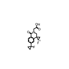 O=C(O)CN1CC2(C[C@@H]2F)c2cc(C3(F)CC3)ccc2C1=O